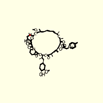 CO[C@H]1C[C@@H]2CC[C@@H](C)[C@@](O)(O2)C(=O)C(=O)N2CCCC[C@H]2C(=O)O[C@H]([C@H](C)C[C@@H]2CC[C@@H](O)[C@H](OC)C2)CC(=O)[C@H](C)/C=C(\C)[C@@H](OC(=O)C[n+]2ccc(C)cc2)[C@@H](OC)C(=O)[C@H](C)C[C@H](C)/C=C/C=C/C=C/1C